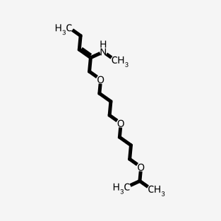 CCC=C(COCCCOCCCOC(C)C)NC